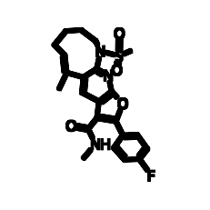 CNC(=O)c1c(-c2ccc(F)cc2)oc2nc3c(cc12)/C(C)=C/CCCCN3S(C)(=O)=O